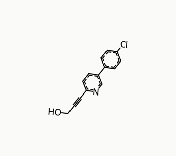 OCC#Cc1ccc(-c2ccc(Cl)cc2)cn1